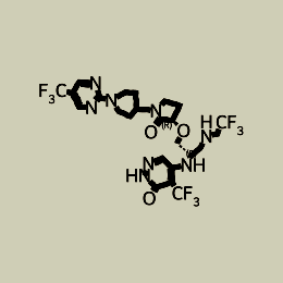 O=C1[C@H](OC[C@H](CNCC(F)(F)F)Nc2cn[nH]c(=O)c2C(F)(F)F)CCN1C1CCN(c2ncc(C(F)(F)F)cn2)CC1